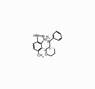 Cc1ccc2[nH]nnc2c1[C@H]1OCCC[C@H]1[C@@H](C)c1ccccc1